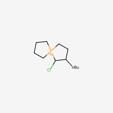 CCCCC1CC[PH]2(CCCC2)C1Cl